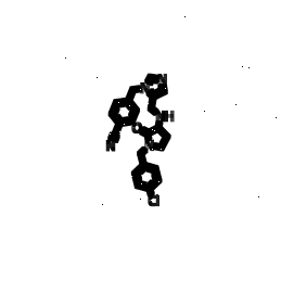 N#Cc1ccc(Cn2cncc2CNC2CCN(Cc3ccc(Cl)cc3)C2=O)cc1